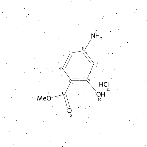 COC(=O)c1ccc(N)cc1O.Cl